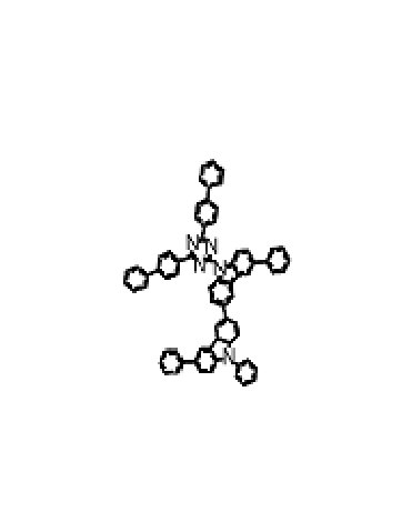 C1=CC2C(C=C1c1ccc3c(c1)c1cc(-c4ccccc4)ccc1n3-c1nc(-c3ccc(-c4ccccc4)cc3)nc(-c3ccc(-c4ccccc4)cc3)n1)c1cc(-c3ccccc3)ccc1N2c1ccccc1